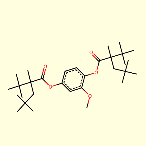 COc1cc(OC(=O)C(C)(CC(C)(C)C)C(C)(C)C)ccc1OC(=O)C(C)(CC(C)(C)C)C(C)(C)C